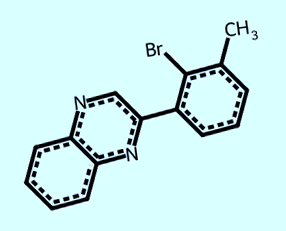 Cc1cccc(-c2cnc3ccccc3n2)c1Br